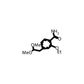 CCOc1cc(CC(OC)OC)ccc1C(N)=O